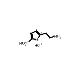 Cl.NCCc1ccc(C(=O)O)s1